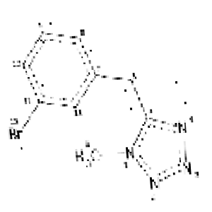 Cn1nnnc1Cc1cccc(Br)c1